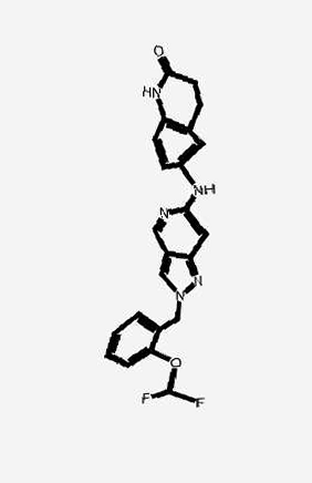 O=C1CCc2cc(Nc3cc4nn(Cc5ccccc5OC(F)F)cc4cn3)ccc2N1